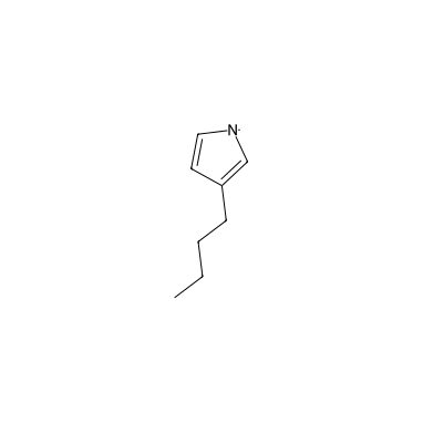 CCCCC1=C[N]C=C1